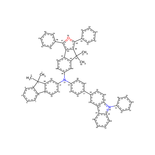 CC1(C)c2ccccc2-c2ccc(N(c3ccc(-c4ccc5c(c4)c4ccccc4n5-c4ccccc4)cc3)c3ccc4c(c3)C(C)(C)c3c(-c5ccccc5)oc(-c5ccccc5)c3-4)cc21